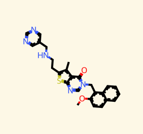 COc1ccc2ccccc2c1Cn1cnc2sc(CCNCc3cncnc3)c(C)c2c1=O